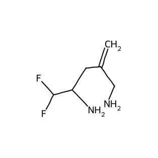 C=C(CN)CC(N)C(F)F